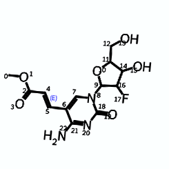 COC(=O)/C=C/c1cn(C2OC(CO)C(O)C2F)c(=O)nc1N